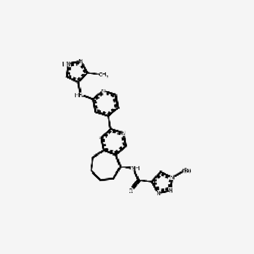 Cc1n[nH]cc1Nc1cc(-c2cc3c(cn2)[C@@H](NC(=O)c2cn(C(C)(C)C)nn2)CCCC3)ccn1